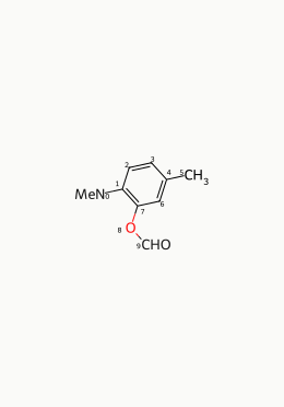 CNc1ccc(C)cc1OC=O